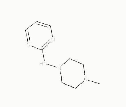 CN1CCN(Nc2nc[c]cn2)CC1